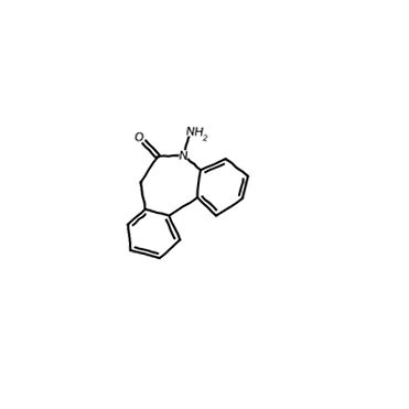 NN1C(=O)Cc2ccccc2-c2ccccc21